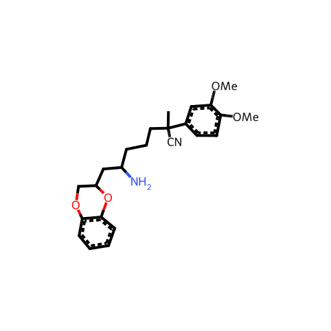 COc1ccc(C(C)(C#N)CCCC(N)CC2COc3ccccc3O2)cc1OC